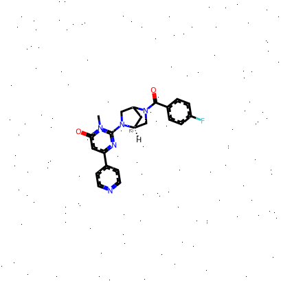 Cn1c(N2CC3C[C@H]2CN3C(=O)c2ccc(F)cc2)nc(-c2ccncc2)cc1=O